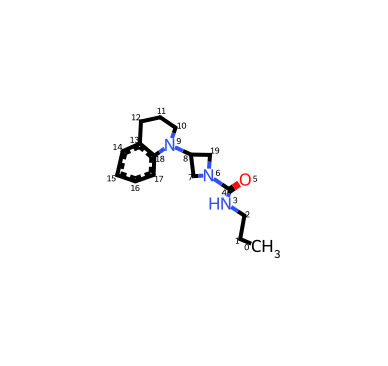 CCCNC(=O)N1CC(N2CCCc3ccccc32)C1